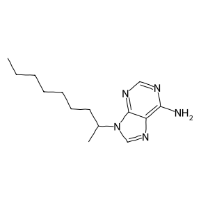 CCCCCCCC(C)n1cnc2c(N)ncnc21